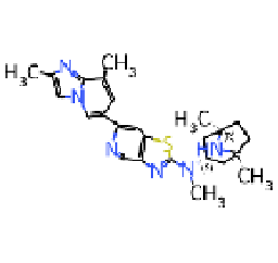 Cc1cn2cc(-c3cc4sc(N(C)[C@H]5C[C@]6(C)CC[C@](C)(C5)N6)nc4cn3)cc(C)c2n1